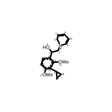 COc1ccc(C(O)CN2C=CC=CC2)c(OC)c1C1CC1